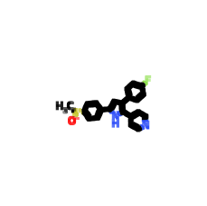 C[S+]([O-])c1ccc(-c2cc(-c3ccc(F)cc3)c(-c3ccncc3)[nH]2)cc1